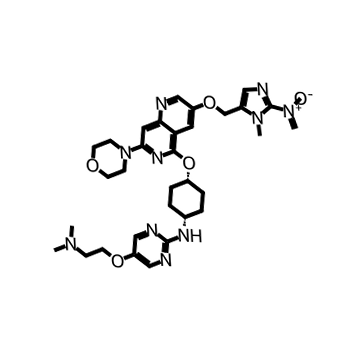 C=[N+]([O-])c1ncc(COc2cnc3cc(N4CCOCC4)nc(O[C@H]4CC[C@@H](Nc5ncc(OCCN(C)C)cn5)CC4)c3c2)n1C